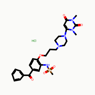 Cl.Cn1c(N2CCN(CCCOc3ccc(C(=O)c4ccccc4)cc3NS(C)(=O)=O)CC2)cc(=O)n(C)c1=O